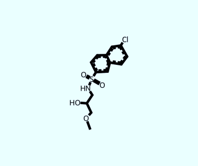 COCC(O)CNS(=O)(=O)c1ccc2cc(Cl)ccc2c1